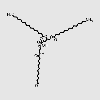 CCCCCCCCCCCCCCCC(=O)OCC(COP(=O)(O)OCCNC(=O)CCCCCCCCCCC=O)OC(=O)CCCCCCCCCCCCCCC